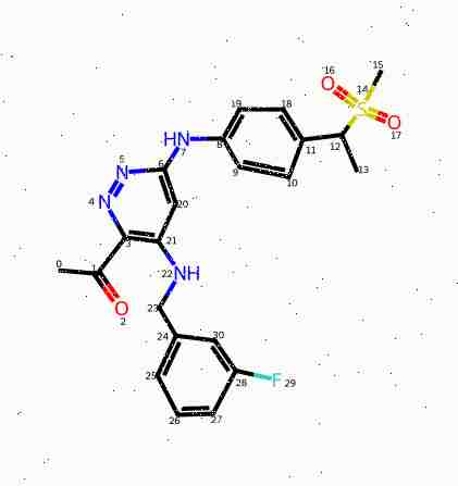 CC(=O)c1nnc(Nc2ccc(C(C)S(C)(=O)=O)cc2)cc1NCc1cccc(F)c1